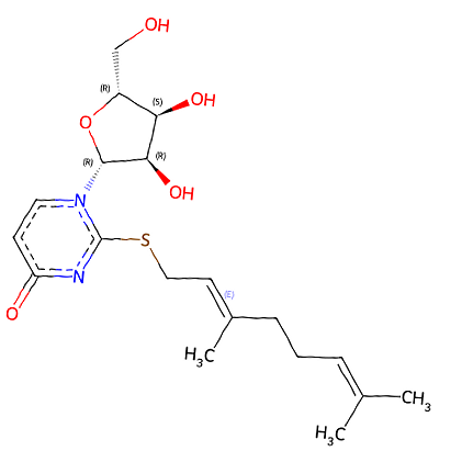 CC(C)=CCC/C(C)=C/CSc1nc(=O)ccn1[C@@H]1O[C@H](CO)[C@@H](O)[C@H]1O